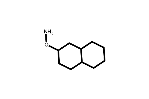 NOC1CCC2CCCCC2C1